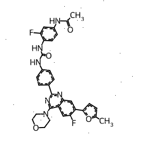 CC(=O)Nc1ccc(NC(=O)Nc2ccc(-c3nc(N4CCOCC4)c4cc(F)c(-c5ccc(C)o5)cc4n3)cc2)c(F)c1